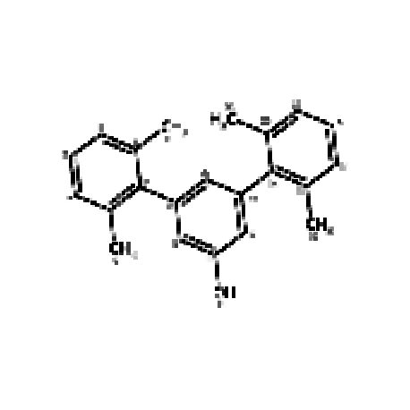 Cc1cccc(C)c1-c1cc(O)cc(-c2c(C)cccc2C)c1